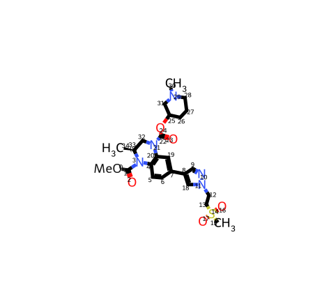 COC(=O)N1c2ccc(-c3cnn(CCS(C)(=O)=O)c3)cc2N(C(=O)OC2CCCN(C)C2)C[C@@H]1C